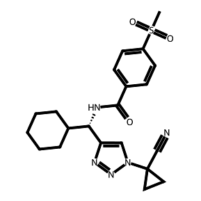 CS(=O)(=O)c1ccc(C(=O)N[C@H](c2cn(C3(C#N)CC3)nn2)C2CCCCC2)cc1